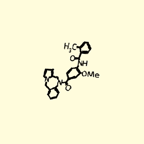 COc1cc(C(=O)N2Cc3cccn3Cc3ccccc32)ccc1NC(=O)c1ccccc1C